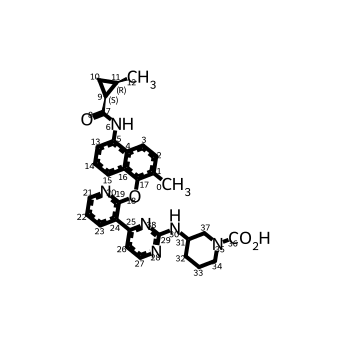 Cc1ccc2c(NC(=O)[C@H]3C[C@H]3C)cccc2c1Oc1ncccc1-c1ccnc(NC2CCCN(C(=O)O)C2)n1